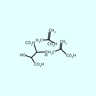 C=C(C)C(=O)O.C=C(C)C(=O)O.O=C(O)C(O)C(O)C(=O)O